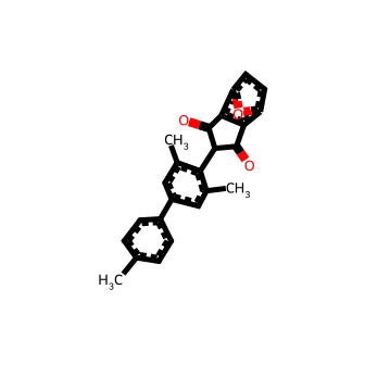 Cc1ccc(-c2cc(C)c(C3C(=O)c4c(c5ccc4o5)C3=O)c(C)c2)cc1